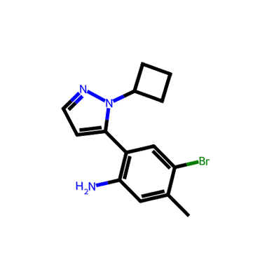 Cc1cc(N)c(-c2ccnn2C2CCC2)cc1Br